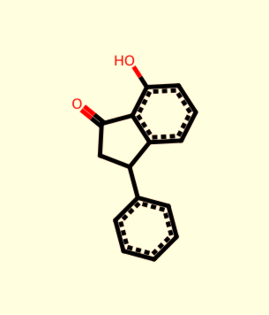 O=C1CC(c2ccccc2)c2cccc(O)c21